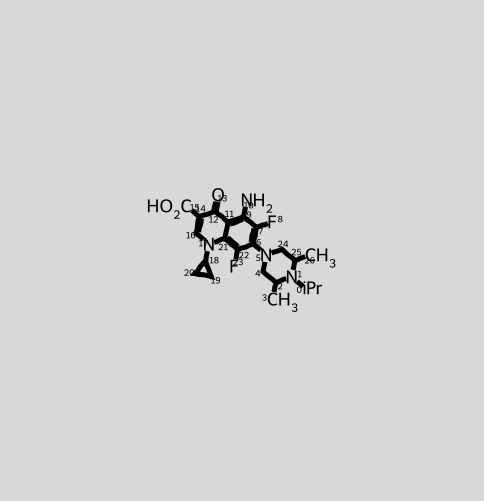 CC(C)N1C(C)CN(c2c(F)c(N)c3c(=O)c(C(=O)O)cn(C4CC4)c3c2F)CC1C